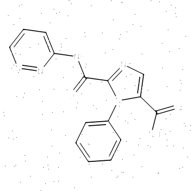 NC(=O)c1cnc(C(=O)Nc2cccnn2)n1-c1ccccc1